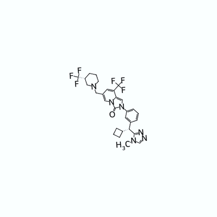 Cn1cnnc1[C@@H](c1cccc(-n2cc3c(C(F)(F)F)cc(CN4CCC[C@@H](C(F)(F)F)C4)cn3c2=O)c1)C1CCC1